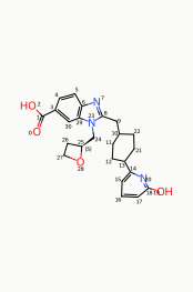 O=C(O)c1ccc2nc(CC3CCC(c4cccc(O)n4)CC3)n(C[C@@H]3CCO3)c2c1